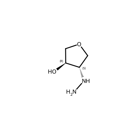 NN[C@H]1COC[C@@H]1O